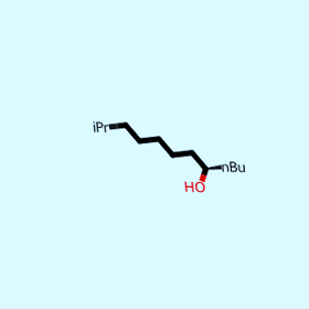 CCCC[C@@H](O)CCCCCC(C)C